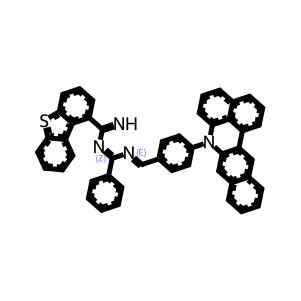 N=C(/N=C(\N=C\c1ccc(N2c3cc4ccccc4cc3-c3cccc4cccc2c34)cc1)c1ccccc1)c1cccc2sc3ccccc3c12